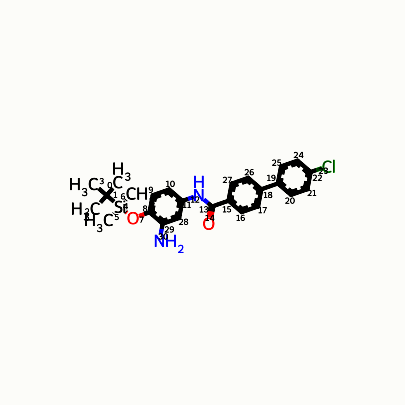 CC(C)(C)[Si](C)(C)Oc1ccc(NC(=O)c2ccc(-c3ccc(Cl)cc3)cc2)cc1N